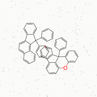 c1ccc(C2(c3ccccc3)c3ccccc3Oc3cccc(-c4ccc(C5(c6ccccc6)c6ccccc6-c6ccc7ccccc7c65)cc4)c32)cc1